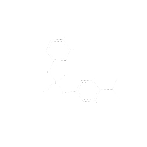 CC(C)c1ccc(OP(=O)(O)Oc2ccccc2)cc1